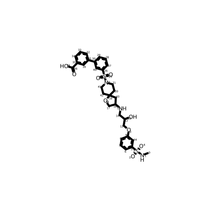 CNS(=O)(=O)c1cccc(OCC(O)CNC2COC3(CCN(S(=O)(=O)c4cccc(-c5cccc(C(=O)O)c5)c4)CC3)C2)c1